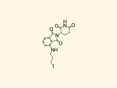 O=C1CCC(N2C(=O)c3cccc(NCCCI)c3C2=O)C(=O)N1